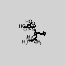 CCC(C)(CC1CC(CNC(=O)C2CC(C(=O)O)CC2C(=O)O)C1CCC1CCC1)C(C)(C)CCP